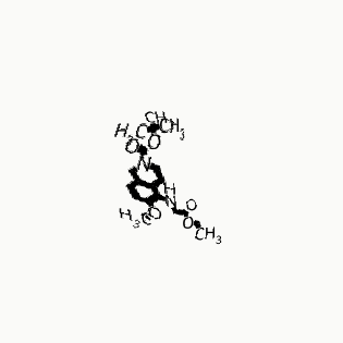 CCOC(=O)CNc1c(OC)ccc2c1CCN(C(=O)OC(C)(C)C)C2